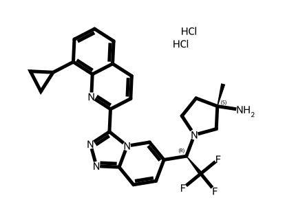 C[C@]1(N)CCN([C@H](c2ccc3nnc(-c4ccc5cccc(C6CC6)c5n4)n3c2)C(F)(F)F)C1.Cl.Cl